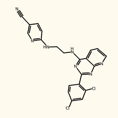 N#Cc1ccc(NCCNc2nc(-c3ccc(Cl)cc3Cl)nc3ncccc23)nc1